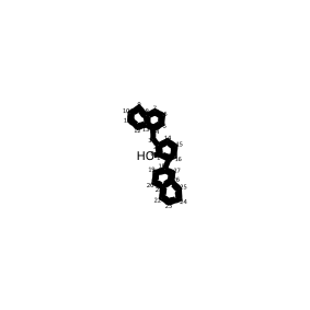 Oc1c(Cc2cccc3ccccc23)cccc1-c1ccc2ccccc2c1